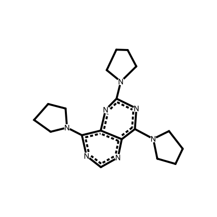 c1nc(N2CCCC2)c2nc(N3CCCC3)nc(N3CCCC3)c2n1